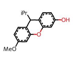 COc1ccc2c(c1)Oc1cc(O)ccc1C2C(C)C